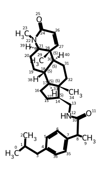 CC(C)Cc1ccc(C(C)C(=O)NC[C@H]2CC[C@H]3[C@@H]4CC[C@H]5N(C)C(=O)C=C[C@]5(C)[C@H]4CC[C@]23C)cc1